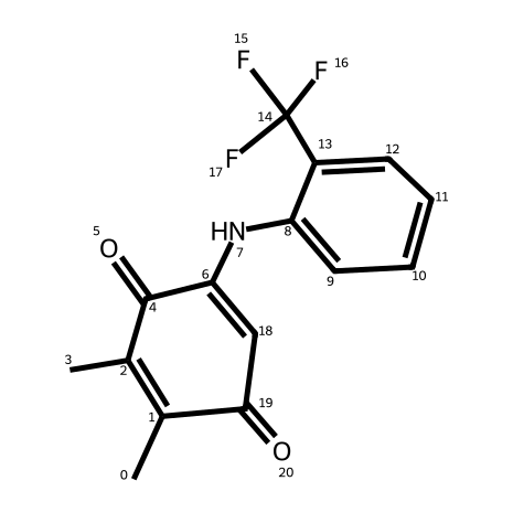 CC1=C(C)C(=O)C(Nc2ccccc2C(F)(F)F)=CC1=O